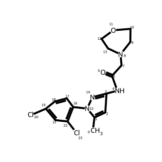 Cc1cc(NC(=O)CN2CCOCC2)nn1-c1ccc(Cl)cc1Cl